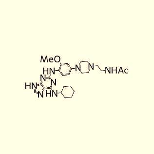 COc1cc(N2CCN(CCNC(C)=O)CC2)ccc1Nc1nc(NC2CCCCC2)c2nc[nH]c2n1